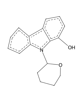 Oc1cccc2c3ccccc3n(C3CCCCO3)c12